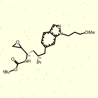 COCCCn1ncc2ccc(C[C@@H](C[C@H](NC(=O)OC(C)(C)C)C3CO3)C(C)C)cc21